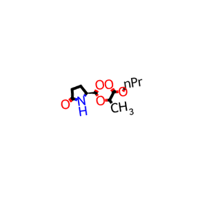 CCCOC(=O)C(C)OC(=O)[C@@H]1CCC(=O)N1